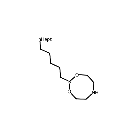 CCCCCCCCCCCCB1OCCNCCO1